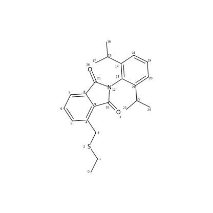 CCSCc1cccc2c1C(=O)N(c1c(C(C)C)cccc1C(C)C)C2=O